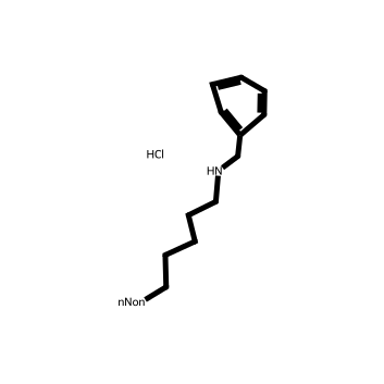 CCCCCCCCCCCCCCNCc1ccccc1.Cl